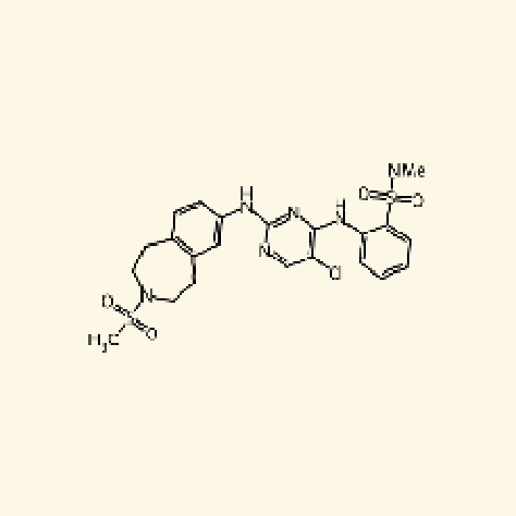 CNS(=O)(=O)c1ccccc1Nc1nc(Nc2ccc3c(c2)CCN(S(C)(=O)=O)CC3)ncc1Cl